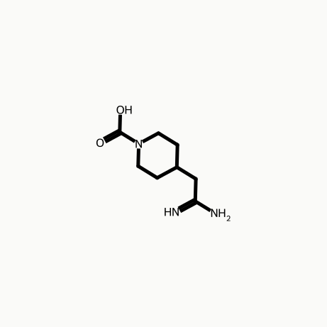 N=C(N)CC1CCN(C(=O)O)CC1